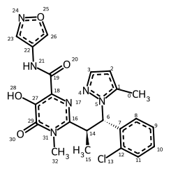 Cc1ccnn1[C@H](c1ccccc1Cl)[C@@H](C)c1nc(C(=O)Nc2cnoc2)c(O)c(=O)n1C